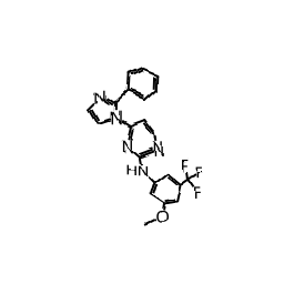 COc1cc(Nc2nccc(-n3ccnc3-c3ccccc3)n2)cc(C(F)(F)F)c1